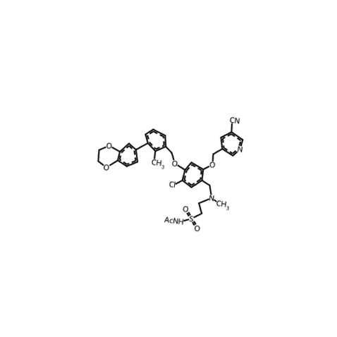 CC(=O)NS(=O)(=O)CCN(C)Cc1cc(Cl)c(OCc2cccc(-c3ccc4c(c3)OCCO4)c2C)cc1OCc1cncc(C#N)c1